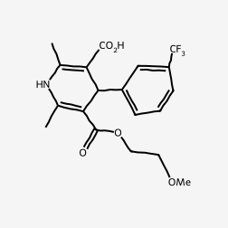 COCCOC(=O)C1=C(C)NC(C)=C(C(=O)O)C1c1cccc(C(F)(F)F)c1